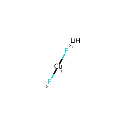 [F][Cu][F].[LiH]